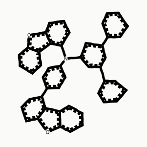 c1ccc(-c2cc(-c3ccccc3)cc(N(c3ccc(-c4cccc5oc6ccccc6c45)cc3)c3cccc4oc5ccccc5c34)c2)cc1